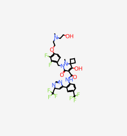 CN(CCO)CCOc1ccc(CN2C(=O)C(C(=O)Nc3ccc(C(F)(F)F)cc3-c3cc(C(F)(F)F)ncn3)=C(O)C3(CCC3)N2C)c(F)c1F